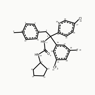 Cc1ccc(CC(NC(=O)NC2CCCC2)(c2cc(F)cc(C(F)(F)F)c2)c2ccc(Cl)cn2)cc1